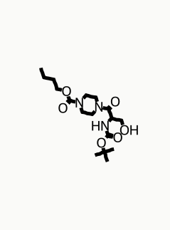 CCCCOC(=O)N1CCN(C(=O)C(CO)NC(=O)OC(C)(C)C)CC1